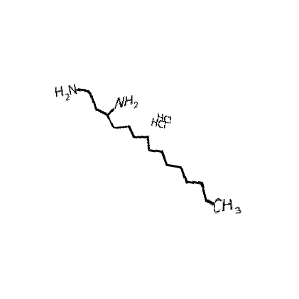 CCCCCCCCCCCCC(N)CCN.Cl.Cl